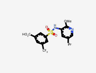 COc1ncc(C(C)C)cc1NS(=O)(=O)c1cc(C(=O)O)cc(C(F)(F)F)c1